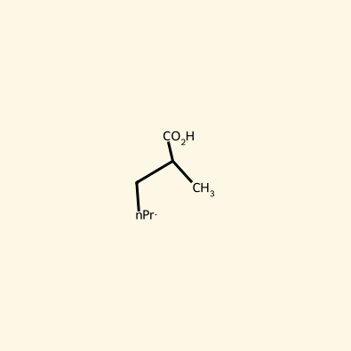 CC[CH]CC(C)C(=O)O